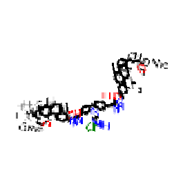 COC(=O)CC[C@@H](C)C(C)C1(C)CCC2[C@@H](CC[C@@H]3C[C@](O)(Cn4cc(-c5ccc6c7ccc(-c8cn(C[C@]9(O)CCC%10(C)C(CC[C@@H]%11C%10CCC%10(C)C([C@H](C)CCC(=O)OC)CC[C@@H]%11%10)C9)nn8)cc7n(CCNCl)c6c5)nn4)CCC23C)C1